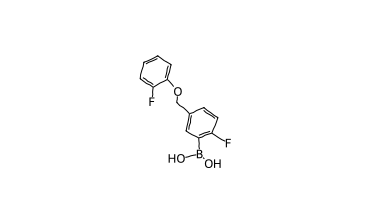 OB(O)c1cc(COc2ccccc2F)ccc1F